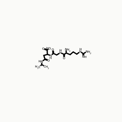 CC(C)NC(=O)CC(NC(=O)CNC(=O)C(N)CCCNC(=N)N)C(=O)O